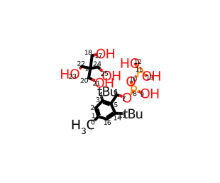 Cc1cc(C(C)(C)C)c(COP(O)OP(O)O)c(C(C)(C)C)c1.OCC(CO)(CO)CO